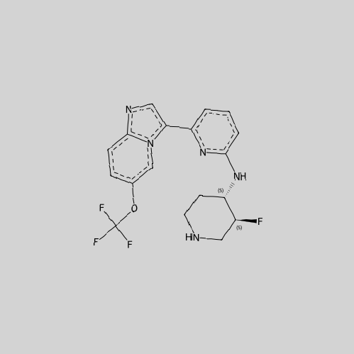 F[C@H]1CNCC[C@@H]1Nc1cccc(-c2cnc3ccc(OC(F)(F)F)cn23)n1